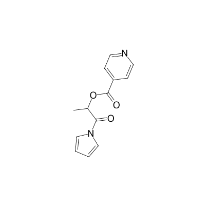 CC(OC(=O)c1ccncc1)C(=O)n1cccc1